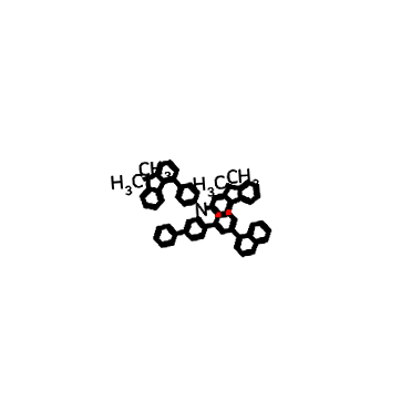 CC1(C)c2ccccc2-c2ccc(N(c3ccc(-c4cccc5c4-c4ccccc4C5(C)C)cc3)c3cc(-c4ccccc4)ccc3-c3cccc(-c4cccc5ccccc45)c3)cc21